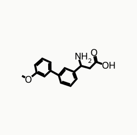 COc1cccc(-c2cccc(C(N)CC(=O)O)c2)c1